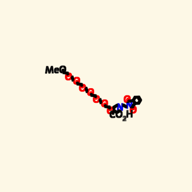 COCCOCCOCCOCCOCCOCCOCCOC1(C(=O)O)CCN(CCN2C(=O)C3CC=CCC3C2=O)CC1